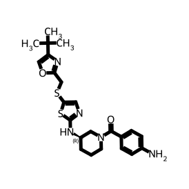 CC(C)(C)c1coc(CSc2cnc(N[C@@H]3CCCN(C(=O)c4ccc(N)cc4)C3)s2)n1